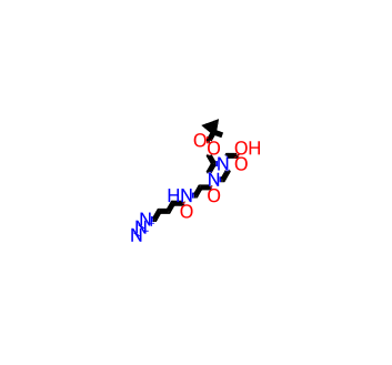 CC1(C(=O)OCC2CN(C(=O)CCNC(=O)CCCCN=[N+]=[N-])CCN2CC(=O)O)CC1